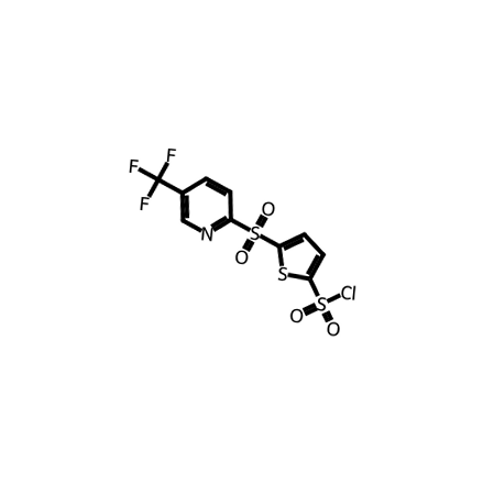 O=S(=O)(Cl)c1ccc(S(=O)(=O)c2ccc(C(F)(F)F)cn2)s1